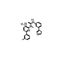 C=C(Nc1cccc(C2=CN=CC2)c1)N(C)c1nc(-c2cccc(C)c2)ccc1N